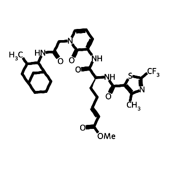 COC(=O)/C=C/CC[C@H](NC(=O)c1sc(C(F)(F)F)nc1C)C(=O)Nc1cccn(CC(=O)NC2C(C)CC3CCCC2C3)c1=O